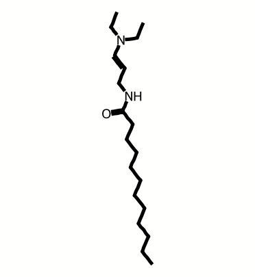 CCCCCCCCCCCC(=O)NCC=CN(CC)CC